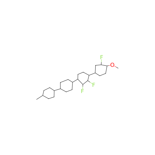 COC1CCC(C2CCC(C3CCC(C4CCC(C)CC4)CC3)C(F)C2F)CC1F